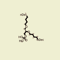 CCCCCCCCCCCCCCOC[C@H](COP(=O)(O)O)OCCCCCCCCCCCCCC